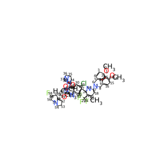 COc1ccc(CN(Cc2ccc(OC)cc2)c2cc(C)c(C(F)(F)F)c(-c3c(Cl)cc4c(N5CC6CC(C5)N6C(=O)OC(C)(C)C)nc(OC[C@]56CCCN5C[C@H](F)C6)nc4c3F)n2)cc1